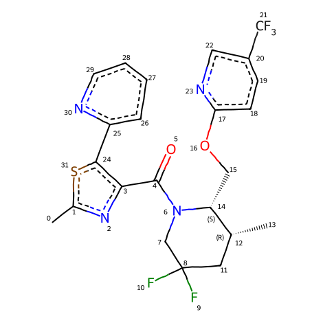 Cc1nc(C(=O)N2CC(F)(F)C[C@@H](C)[C@H]2COc2ccc(C(F)(F)F)cn2)c(-c2ccccn2)s1